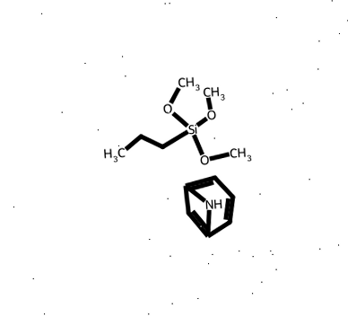 CCC[Si](OC)(OC)OC.c1cc2cc(c1)N2